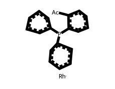 CC(=O)c1ccccc1P(c1ccccc1)c1ccccc1.[Rh]